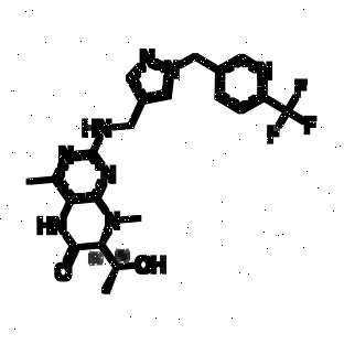 Cc1nc(NCc2cnn(Cc3ccc(C(F)(F)F)nc3)c2)nc2c1NC(=O)[C@H]([C@H](C)O)N2C